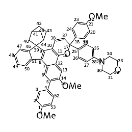 COc1ccc(-c2cc3c4c(c5c(c3cc2OC)OC(c2ccc(OC)cc2)(c2ccc(N3CCOCC3)cc2)C=C5)C2(CC3CCC2C3)c2ccccc2-4)cc1